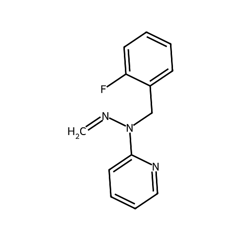 C=NN(Cc1ccccc1F)c1ccccn1